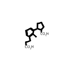 Cc1c(CCC(=O)O)cccc1C1CCCC1C(=O)O